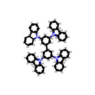 C1=CC2c3ccccc3N(c3cc(-c4cc(-n5c6ccccc6c6ccccc65)cc(-n5c6ccccc6c6ccccc65)c4)cc(-n4c5ccccc5c5ccccc54)c3)C2C=C1